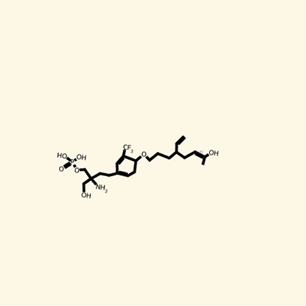 C=CC(C/C=C(\C)O)CCCOC1CC=C(CCC(N)(CO)COP(=O)(O)O)C=C1C(F)(F)F